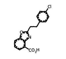 O=C(O)c1cccc2oc(CCc3ccc(Cl)cc3)nc12